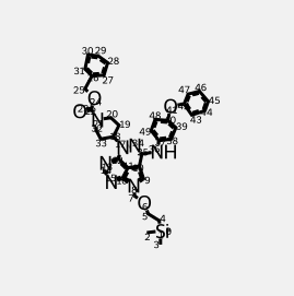 C[Si](C)(C)CCOCn1cc2c3c(ncnc31)N(C1CCN(C(=O)OCc3ccccc3)CC1)N=C2Nc1ccc(Oc2ccccc2)cc1